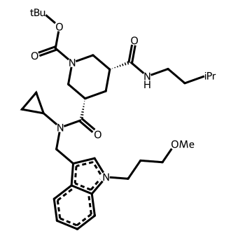 COCCCn1cc(CN(C(=O)[C@H]2C[C@@H](C(=O)NCCC(C)C)CN(C(=O)OC(C)(C)C)C2)C2CC2)c2ccccc21